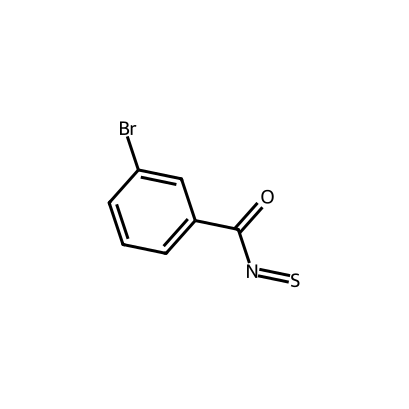 O=C(N=S)c1cccc(Br)c1